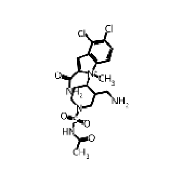 CC(=O)NS(=O)(=O)N1CCC([N+]2(C)C(C(N)=O)=Cc3c2ccc(Cl)c3Cl)C(CN)C1